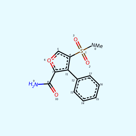 CNS(=O)(=O)c1coc(C(N)=O)c1-c1ccccc1